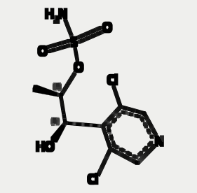 C[C@@H](OS(N)(=O)=O)[C@H](O)c1c(Cl)cncc1Cl